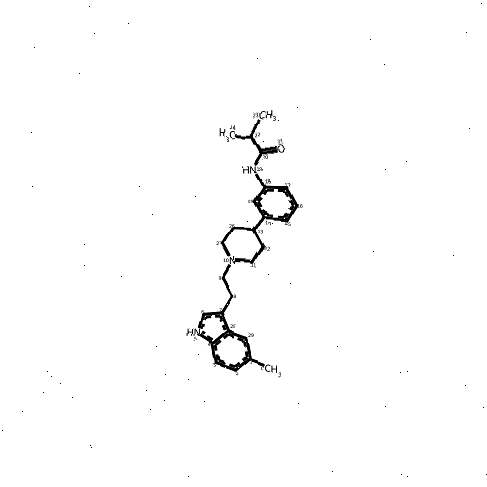 Cc1ccc2[nH]cc(CCN3CCC(c4cccc(NC(=O)C(C)C)c4)CC3)c2c1